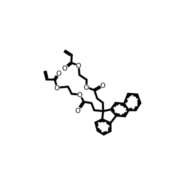 C=CC(=O)OCCOC(=O)CCC1(CCC(=O)OCCOC(=O)C=C)c2ccccc2-c2cc3ccccc3cc21